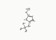 FC(F)(F)Sc1ncc(CCl)s1